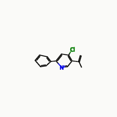 C=C(C)c1cnc(-c2ccccc2)cc1Cl